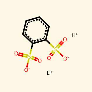 O=S(=O)([O-])c1ccccc1S(=O)(=O)[O-].[Li+].[Li+]